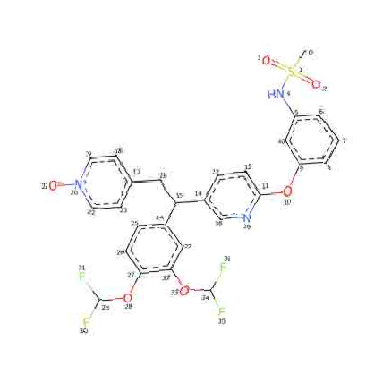 CS(=O)(=O)Nc1cccc(Oc2ccc(C(Cc3cc[n+]([O-])cc3)c3ccc(OC(F)F)c(OC(F)F)c3)cn2)c1